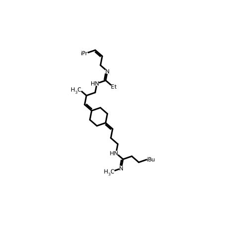 CC/C(=N/C/C=C\C(C)C)NCC(C)C=C1CCC(=CCCN/C(CCC(C)CC)=N\C)CC1